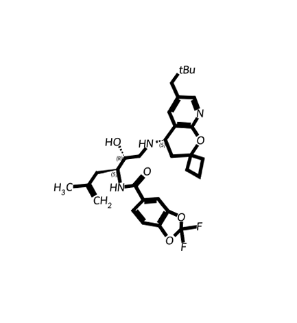 C=C(C)C[C@H](NC(=O)c1ccc2c(c1)OC(F)(F)O2)[C@H](O)CN[C@H]1CC2(CCC2)Oc2ncc(CC(C)(C)C)cc21